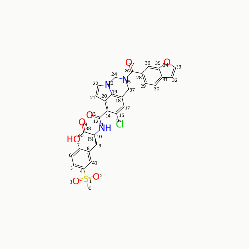 CS(=O)(=O)c1cccc(C[C@H](NC(=O)c2c(Cl)cc3c4c2ccn4CN(C(=O)c2ccc4ccoc4c2)C3)C(=O)O)c1